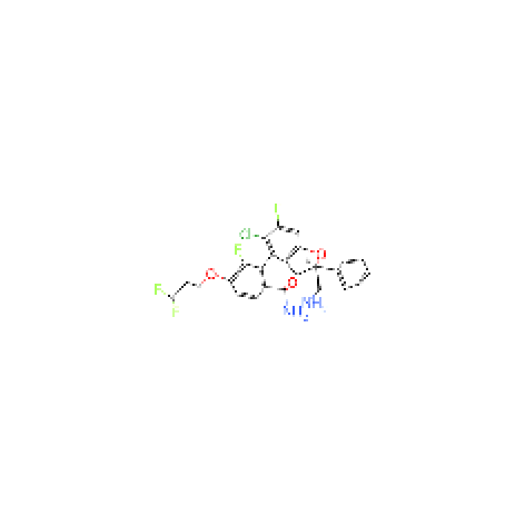 NC[C@@]1(c2ccccc2)Cc2c(cc(F)c(Cl)c2-c2c(C(N)=O)ccc(OCCC(F)F)c2F)O1